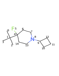 CC(C)(C)C1(F)CCN(C2CCC2)CC1